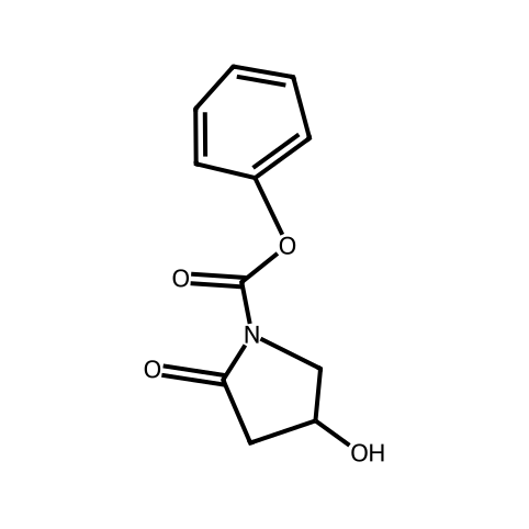 O=C1CC(O)CN1C(=O)Oc1ccccc1